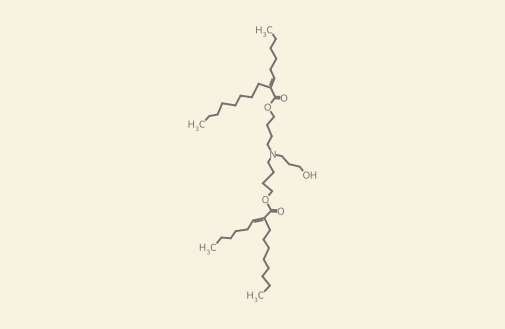 CCCCCC=C(CCCCCCCC)C(=O)OCCCCN(CCCO)CCCCOC(=O)/C(=C/CCCCC)CCCCCCCC